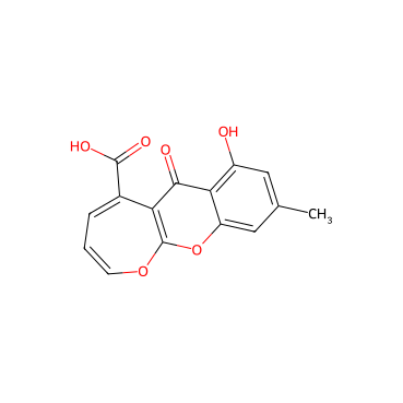 Cc1cc(O)c2c(=O)c3c(oc2c1)OC=CC=C3C(=O)O